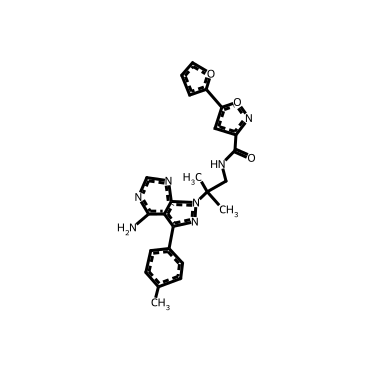 Cc1ccc(-c2nn(C(C)(C)CNC(=O)c3cc(-c4ccco4)on3)c3ncnc(N)c23)cc1